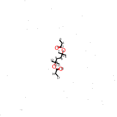 CCC(=O)OC(C)(C)CCC(C)(C)OC(=O)CC